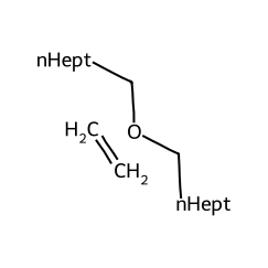 C=C.CCCCCCCCOCCCCCCCC